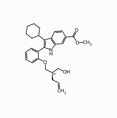 C=CC[C@H](CO)COc1ccccc1-c1[nH]c2cc(C(=O)OC)ccc2c1C1CCCCC1